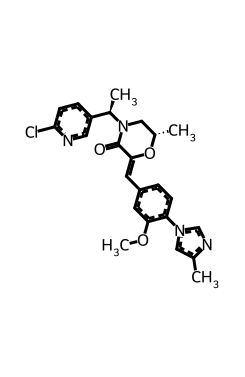 COc1cc(/C=C2\O[C@@H](C)CN([C@H](C)c3ccc(Cl)nc3)C2=O)ccc1-n1cnc(C)c1